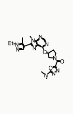 CCn1ncc(-c2nc3c(O[C@H]4CCN(C(=O)c5nnc(N(C)C)o5)C4)ncnc3n2C)c1C